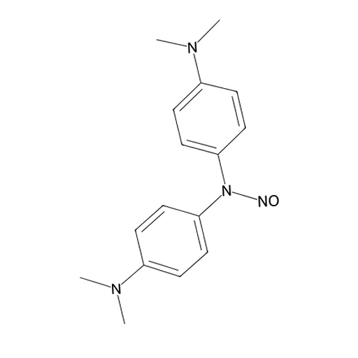 CN(C)c1ccc(N(N=O)c2ccc(N(C)C)cc2)cc1